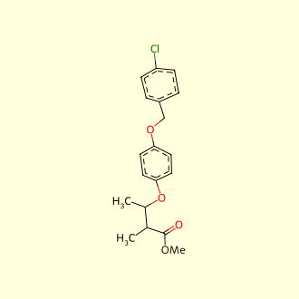 COC(=O)C(C)C(C)Oc1ccc(OCc2ccc(Cl)cc2)cc1